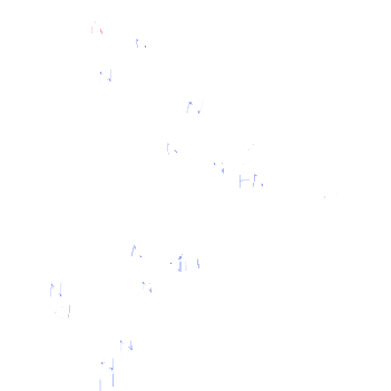 COCCNC(=O)N(c1cnc(-c2cnc(OC)nc2)cn1)[C@H]1CC[C@H](Nc2ncc(C#N)c(-c3n[nH]cc3Cl)n2)CC1